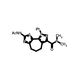 CC(=O)Nc1nc2c(s1)-c1c(c(C(=O)N(C)C)nn1C(C)C)CCC2